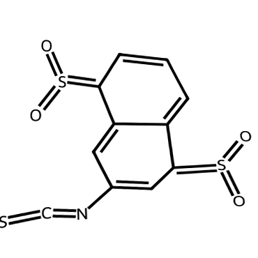 O=S(=O)=C1C=CC=C2C1=CC(N=C=S)=CC2=S(=O)=O